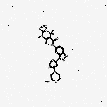 CC[C@@H]1CN(c2cc(-c3n[nH]c4ccc(NC(=O)C5=C(C)N(C)c6nnnn6C5(C)C)cc34)ncn2)CCO1